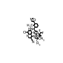 Cc1c(-c2cnco2)cccc1[C@H](Nc1cc(Cl)c2ncc(C#N)c(NCC(C)(C)C)c2c1)c1cn(C2(C(F)F)CC2)nn1